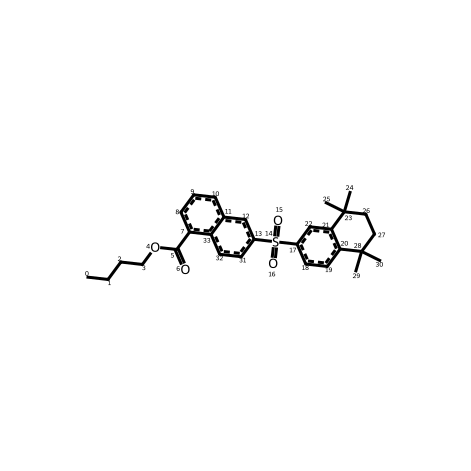 CCCCOC(=O)c1cccc2cc(S(=O)(=O)c3ccc4c(c3)C(C)(C)CCC4(C)C)ccc12